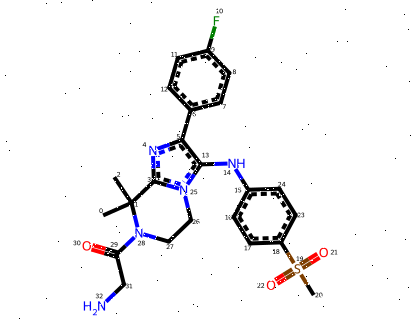 CC1(C)c2nc(-c3ccc(F)cc3)c(Nc3ccc(S(C)(=O)=O)cc3)n2CCN1C(=O)CN